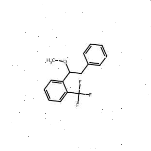 CO[C](Cc1ccccc1)c1ccccc1C(F)(F)F